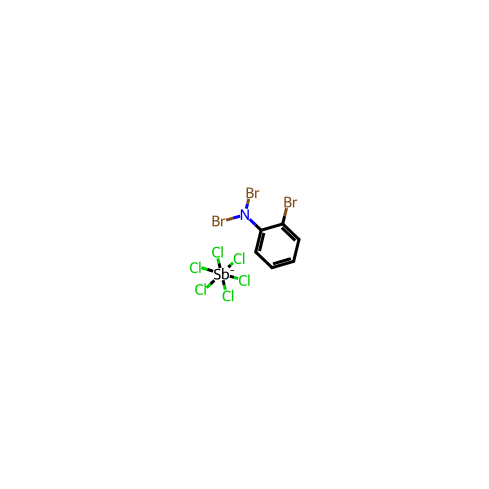 Brc1ccccc1N(Br)Br.[Cl][Sb-]([Cl])([Cl])([Cl])([Cl])[Cl]